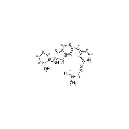 CN(C)CC#Cc1cc(Oc2ccc3nc(N[C@@H]4CCCC[C@H]4O)sc3c2)ccn1